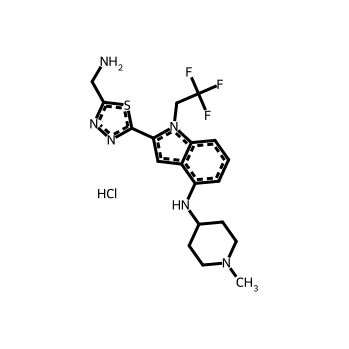 CN1CCC(Nc2cccc3c2cc(-c2nnc(CN)s2)n3CC(F)(F)F)CC1.Cl